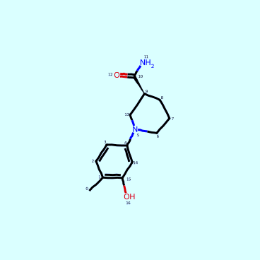 Cc1ccc(N2CCC[C@H](C(N)=O)C2)cc1O